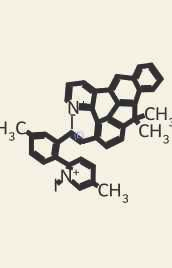 Cc1ccc(-c2ccc(C)c[n+]2I)c(/C=C/c2ccc3c4c5c(c6ccccc6cc5c5ccc[n+](I)c5c24)C3(C)C)c1